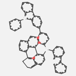 C1=CCCC(c2cccc3cccc(-c4ccccc4N(c4ccc(-c5ccc6c7ccccc7n(-c7ccccc7)c6c5)cc4)c4cccc5c4sc4ccccc45)c23)=C1